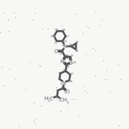 CC(C)CC(=O)N1CCC(c2nc(C(=O)N(C3CCCCC3)C3CC3)cs2)CC1